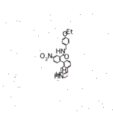 CCOc1ccc(CNC(=O)c2cc([N+](=O)[O-])ccc2-c2cccc3c2C[C@H]2NCC[C@@]34CCCC[C@@H]24)cc1